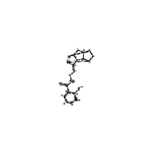 O=C(NCC=C1C2C3CC4C5CC(C1C53)C42)c1cccnc1F